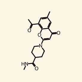 CNC(=O)C1CCN(c2cc(=O)c3cc(C)cc(C(C)=O)c3o2)CC1